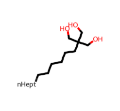 CCCCCCCCCCCCCC(CO)(CO)CO